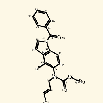 CC(C)(C)OC(=O)N(CC=CCl)c1ccc2c(ccn2C(=O)c2ccccc2)c1I